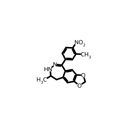 Cc1cc(C2=NNC(C)Cc3cc4c(cc32)OCO4)ccc1[N+](=O)[O-]